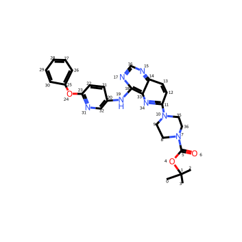 CC(C)(C)OC(=O)N1CCN(c2ccc3ncnc(Nc4ccc(Oc5ccccc5)nc4)c3n2)CC1